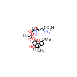 COc1ccc2c3c1O[C@H]1C(OC(=O)[C@H](C)OC(=O)[C@H](C)NC(=O)CC[C@H](N)C(=O)O)=CC[C@@]4(O)[C@@H](C2)C(C)CC[C@]314